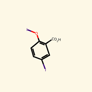 O=C(O)c1cc(I)ccc1OI